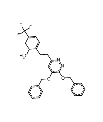 CC1CC(C(F)(F)F)=CC=C1CCc1cc(OCc2ccccc2)c(OCc2ccccc2)nn1